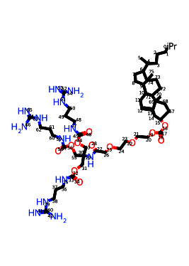 CC(C)CCCC(C)C1CCC2C3CC=C4CC(OC(=O)OCCOCCOCC(=O)NC(COC(=O)NCCCNC(=N)N)(COC(=O)NCCCNC(=N)N)COC(=O)NCCCNC(=N)N)CCC4(C)C3CCC12C